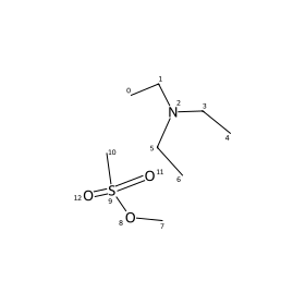 CCN(CC)CC.COS(C)(=O)=O